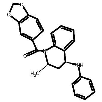 C[C@H]1C[C@H](Nc2ccccc2)c2ccccc2N1C(=O)c1ccc2c(c1)OCO2